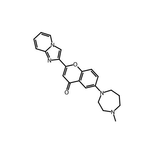 CN1CCCN(c2ccc3oc(-c4cn5ccccc5n4)cc(=O)c3c2)CC1